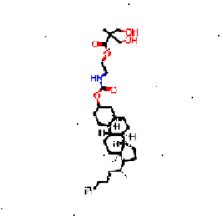 CC(C)CCC[C@@H](C)C1CC[C@H]2[C@@H]3CC=C4CC(OC(=O)NCCOC(=O)C(C)(CO)CO)CC[C@@H]4[C@H]3CC[C@]12C